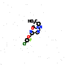 O=C(O)c1ccc2nc(CN3CCC(c4cncc(COc5ccc(Cl)cc5F)c4)C3)n(C[C@@H]3CCO3)c2c1